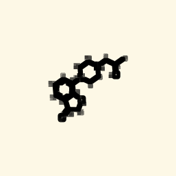 CC(=O)CN1CCN(c2cccc3c2OCC3=O)CC1